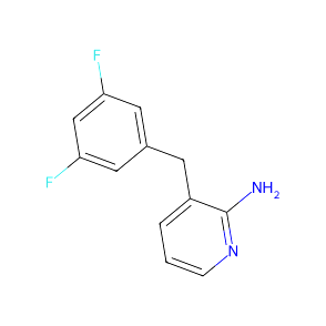 Nc1ncccc1Cc1cc(F)cc(F)c1